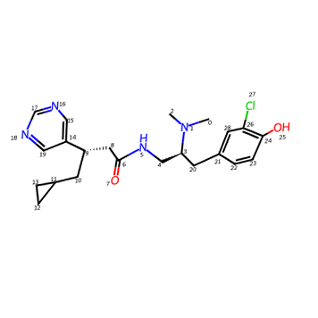 CN(C)[C@H](CNC(=O)C[C@H](CC1CC1)c1cncnc1)Cc1ccc(O)c(Cl)c1